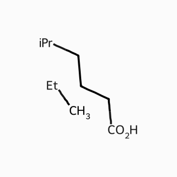 CC(C)CCCC(=O)O.CCC